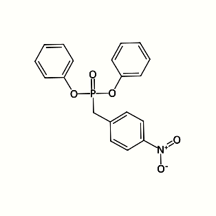 O=[N+]([O-])c1ccc(CP(=O)(Oc2ccccc2)Oc2ccccc2)cc1